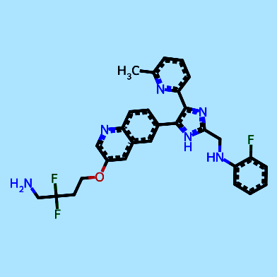 Cc1cccc(-c2nc(CNc3ccccc3F)[nH]c2-c2ccc3ncc(OCCC(F)(F)CN)cc3c2)n1